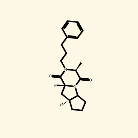 C[C@H]1C(=O)N2C3CCC[C@H]3C[C@@H]2C(=O)N1CCCc1ccccc1